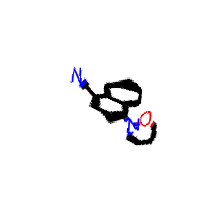 N#Cc1ccc(N2CCCCO2)c2ccccc12